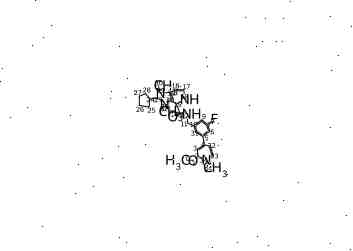 COC1C=C(c2cc(F)cc(CNC(=O)C3NC=CC4=C3N(C)C(C3CCCC3)N4C)c2)C=CN1C